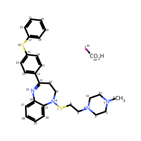 CN1CCN(CCSN2CCC(c3ccc(Sc4ccccc4)cc3)=Nc3ccccc32)CC1.O=C(O)I